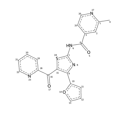 Cc1cc(C(=O)Nc2nc(-c3ccco3)c(C(=O)c3ccccn3)s2)ccn1